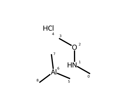 CNOC.Cl.[CH3][Al]([CH3])[CH3]